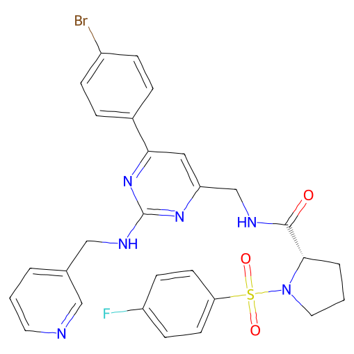 O=C(NCc1cc(-c2ccc(Br)cc2)nc(NCc2cccnc2)n1)[C@@H]1CCCN1S(=O)(=O)c1ccc(F)cc1